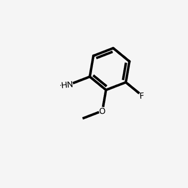 COc1c([NH])cccc1F